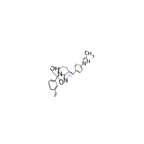 Cc1cn(-c2ccc(/C=C3\CCCN4C3=NOC4(CO)c3cccc(F)c3)cc2)cn1